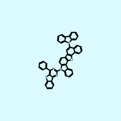 c1ccc(-c2nc(-n3c4ccccc4c4c5oc6c7ccccc7c(-n7c8ccccc8c8ccccc87)cc6c5ccc43)nc3c2sc2ccccc23)cc1